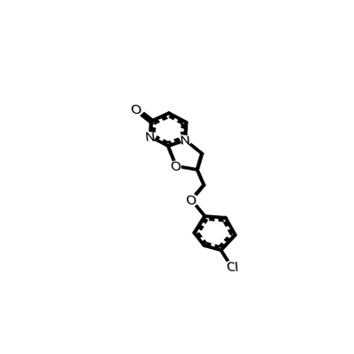 O=c1ccn2c(n1)OC(COc1ccc(Cl)cc1)C2